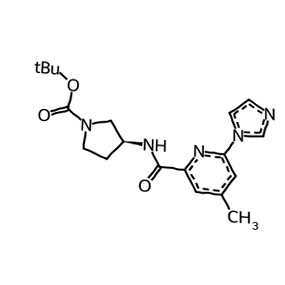 Cc1cc(C(=O)N[C@H]2CCN(C(=O)OC(C)(C)C)C2)nc(-n2ccnc2)c1